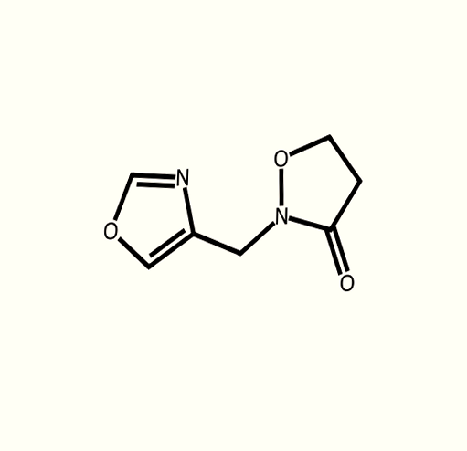 O=C1CCON1Cc1cocn1